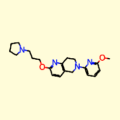 COc1cccc(N2CCc3nc(OCCCN4CCCC4)ccc3C2)n1